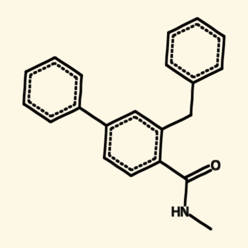 CNC(=O)c1ccc(-c2ccccc2)cc1Cc1ccccc1